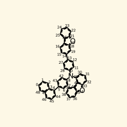 c1ccc2c(-c3ccc(N(c4ccc(-c5ccc6c(c5)oc5ccccc56)cc4)c4cccc5oc6ccccc6c45)cc3)cccc2c1